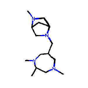 CC1CN(C)CC(CN2CC3CC2CN3C)CN1C